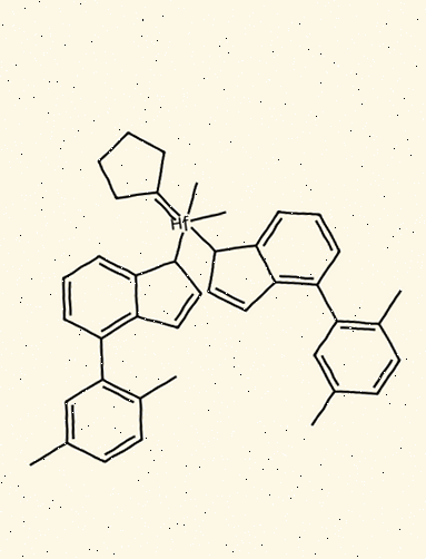 Cc1ccc(C)c(-c2cccc3c2C=C[CH]3[Hf]([CH3])([CH3])(=[C]2CCCC2)[CH]2C=Cc3c(-c4cc(C)ccc4C)cccc32)c1